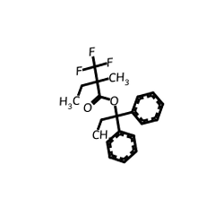 CCC(OC(=O)C(C)(CC)C(F)(F)F)(c1ccccc1)c1ccccc1